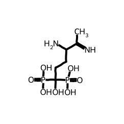 CC(=N)C(N)CCC(O)(P(=O)(O)O)P(=O)(O)O